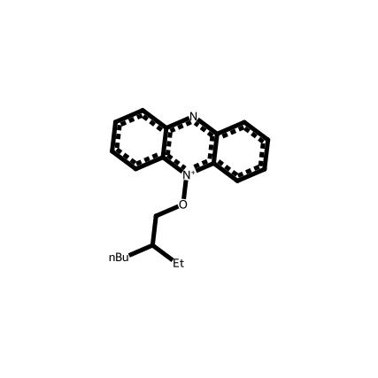 CCCCC(CC)CO[n+]1c2ccccc2nc2ccccc21